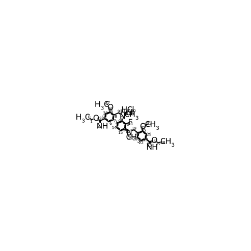 CCOC(=N)c1ccc(CN(C)c2cccc(N(C)Cc3ccc(C(=N)OCC)cc3OC)c2F)c(OC)c1.Cl.Cl